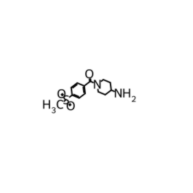 CS(=O)(=O)c1ccc(C(=O)N2CCC(N)CC2)cc1